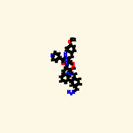 CCOc1ccc(CC(NC(=O)c2ccncc2)C(=O)NC(Cc2ccccc2)C(=O)NCc2ccc(CN)cc2)cc1